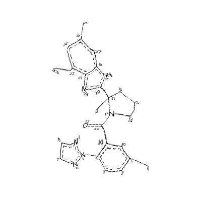 Cc1ccc(-n2nccn2)c(C(=O)N2CCCC2(C)c2nc3c(C)cc(C)cc3[nH]2)c1